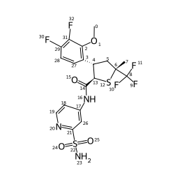 COc1c([C@@H]2C[C@](C)(C(F)(F)F)S[C@H]2C(=O)Nc2ccnc(S(N)(=O)=O)c2)ccc(F)c1F